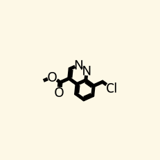 COC(=O)c1cnnc2c(CCl)cccc12